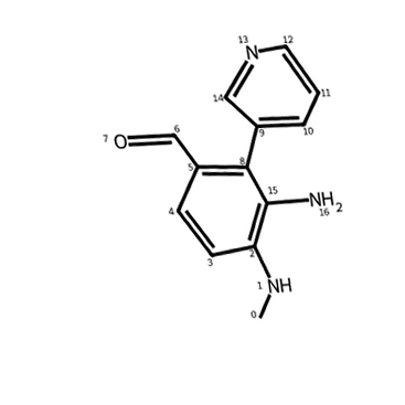 CNc1ccc(C=O)c(-c2cccnc2)c1N